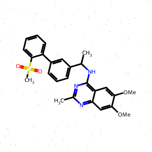 COc1cc2nc(C)nc(NC(C)c3cccc(-c4ccccc4S(C)(=O)=O)c3)c2cc1OC